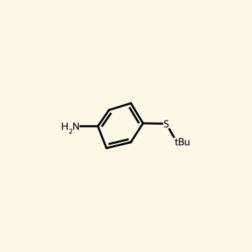 CC(C)(C)Sc1ccc(N)cc1